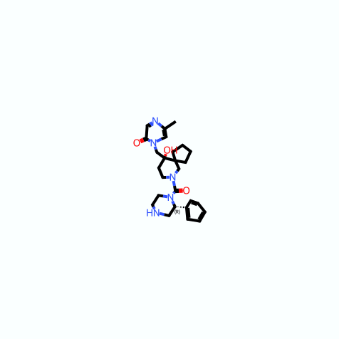 Cc1cn(CC2(O)CCN(C(=O)N3CCNC[C@H]3c3ccccc3)CC23CCCC3)c(=O)cn1